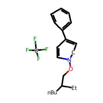 CCCCC(CC)CON1C=CC(c2ccccc2)=CC1.F[B-](F)(F)F